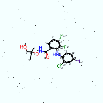 CC(C)(CO)ONC(=O)c1ccc(F)c(F)c1Nc1ccc(I)cc1Cl